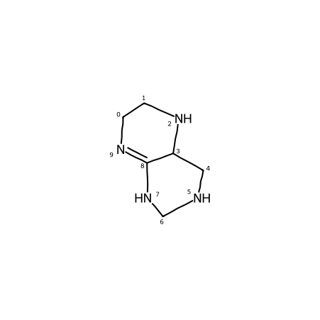 C1CNC2CNCNC2=N1